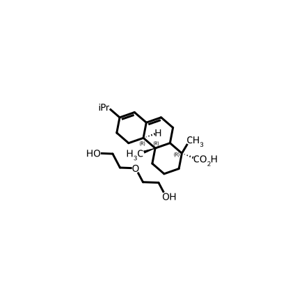 CC(C)C1=CC2=CCC3[C@](C)(C(=O)O)CCC[C@]3(C)[C@H]2CC1.OCCOCCO